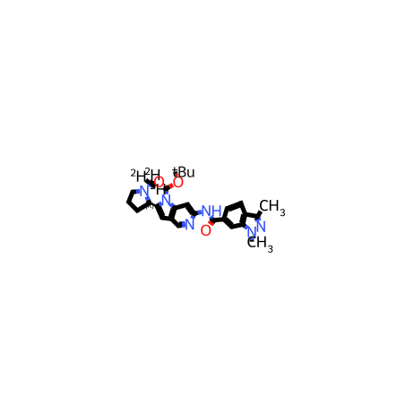 [2H]C([2H])([2H])N1CCC[C@@H]1c1cc2cnc(NC(=O)c3ccc4c(C)nn(C)c4c3)cc2n1C(=O)OC(C)(C)C